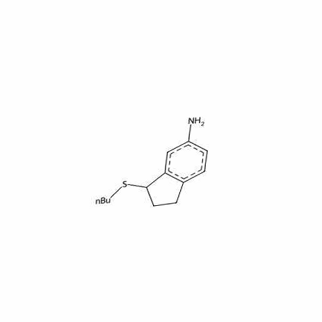 CCCCSC1CCc2ccc(N)cc21